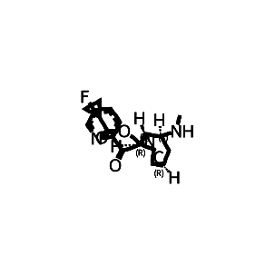 CN[C@H]1C[C@H]2CC[C@@H](OC(=O)C3CC3)[C@H]1N(C(=O)c1ccc(F)cn1)C2